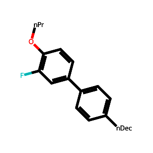 CCCCCCCCCCc1ccc(-c2ccc(OCCC)c(F)c2)cc1